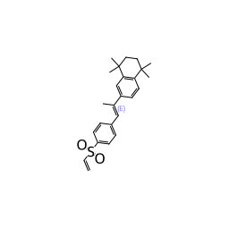 C=CS(=O)(=O)c1ccc(/C=C(\C)c2ccc3c(c2)C(C)(C)CCC3(C)C)cc1